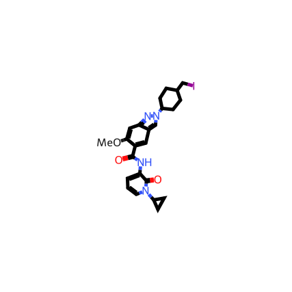 COc1cc2nn(C3CCC(CI)CC3)cc2cc1C(=O)Nc1cccn(C2CC2)c1=O